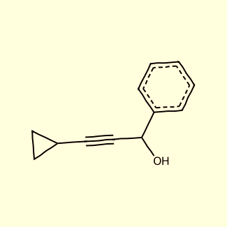 OC(C#CC1CC1)c1ccccc1